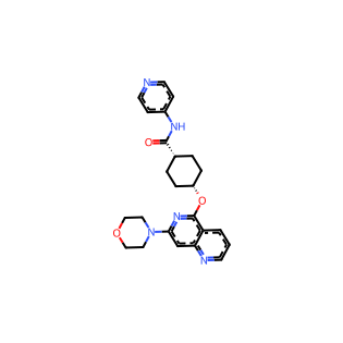 O=C(Nc1ccncc1)[C@H]1CC[C@@H](Oc2nc(N3CCOCC3)cc3ncccc23)CC1